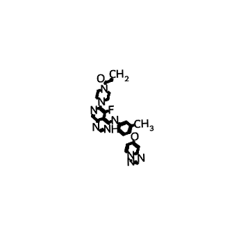 C=CC(=O)N1CCN(c2ncc3ncnc(Nc4ccc(Oc5ccn6ncnc6c5)c(C)c4)c3c2F)CC1